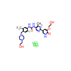 Cc1nc(-c2c[nH]c(=O)c(OCCO)c2)ncc1NC(=O)Nc1cc(C(F)(F)F)c(CN2CCN(CCO)CC2)cc1F.Cl.Cl.Cl